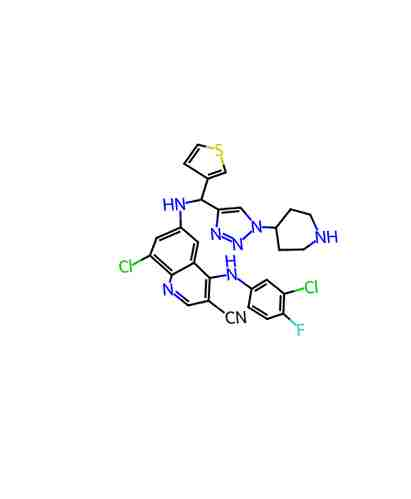 N#Cc1cnc2c(Cl)cc(NC(c3ccsc3)c3cn(C4CCNCC4)nn3)cc2c1Nc1ccc(F)c(Cl)c1